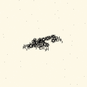 CO[C@@H](C)COc1nc2[nH]ccc2cc1Oc1cc(N2CCC3(CC2)CC(N2CCC[C@H]2c2ccccc2C(C)C)C3)ccc1C(=O)NS(=O)(=O)c1cc2c(c([N+](=O)[O-])c1)N[C@@H]([C@H]1CC[C@](C)(O)CC1)CO2